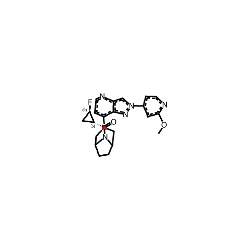 COc1cc(-n2cc3nccc(N4CC5CCC(C4)N5C(=O)[C@@H]4C[C@H]4F)c3n2)ccn1